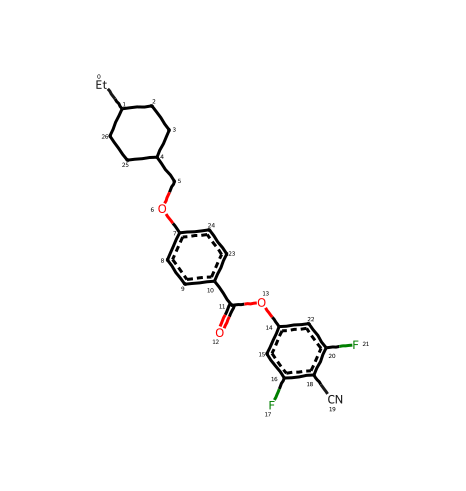 CCC1CCC(COc2ccc(C(=O)Oc3cc(F)c(C#N)c(F)c3)cc2)CC1